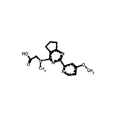 COc1ccnc(-c2nc3c(c(N(C)CC(=O)O)n2)CCC3)c1